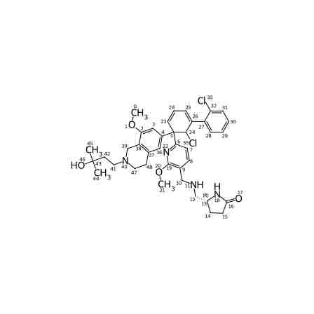 COc1cc(C2(c3ccc(CNC[C@H]4CCC(=O)N4)c(OC)n3)C=CC=C(c3ccccc3Cl)C2Cl)cc2c1CN(CCC(C)(C)O)CC2